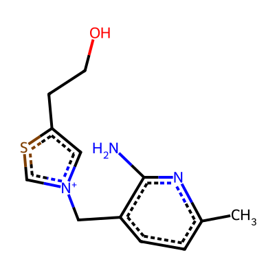 Cc1ccc(C[n+]2csc(CCO)c2)c(N)n1